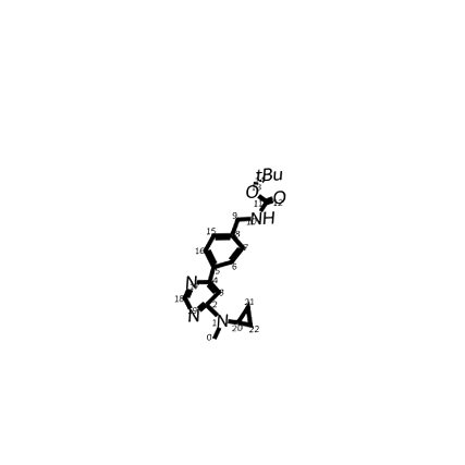 CN(c1cc(-c2ccc(CNC(=O)OC(C)(C)C)cc2)ncn1)C1CC1